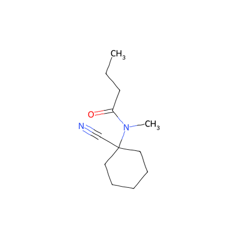 CCCC(=O)N(C)C1(C#N)CCCCC1